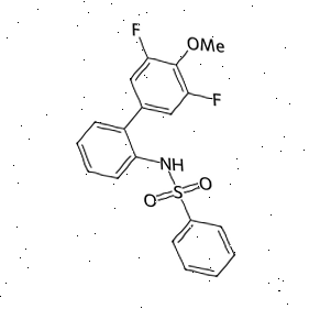 COc1c(F)cc(-c2ccccc2NS(=O)(=O)c2ccccc2)cc1F